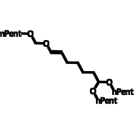 CCCCCOCOC=CCCCCC(OCCCCC)OCCCCC